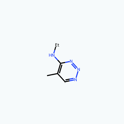 CCNc1nnn[c]c1C